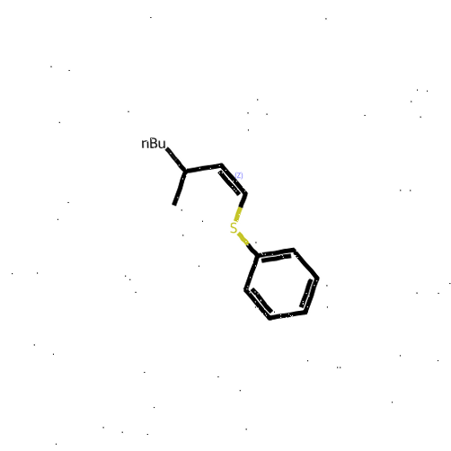 CCCCC(C)/C=C\Sc1ccccc1